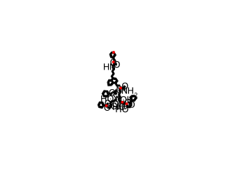 NC(=O)[C@H](CCc1ccc(CCCCNC(=O)OCc2ccccc2)c2ccccc12)N(CCCN(C[C@H](O)[C@@H](O)[C@@H]1OC(c2ccccc2)OC[C@H]1O)C[C@H](O)[C@@H](O)[C@@H]1OC(c2ccccc2)OC[C@H]1O)CC(=O)OCc1ccccc1